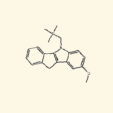 COc1ccc2c(c1)c1c(n2C[Si](C)(C)C)-c2ccccc2C1